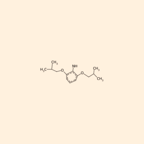 CC(C)COc1cccc(OCC(C)C)c1[NH]